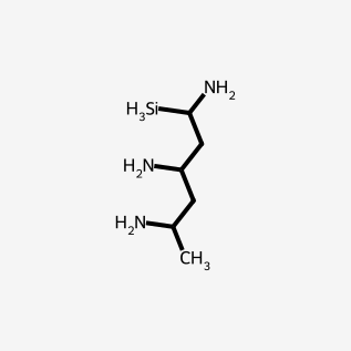 CC(N)CC(N)CC(N)[SiH3]